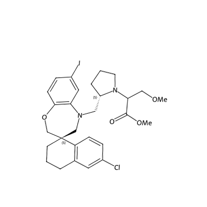 COCC(C(=O)OC)N1CCC[C@H]1CN1C[C@@]2(CCCc3cc(Cl)ccc32)COc2ccc(I)cc21